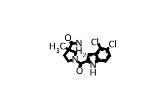 CC1(C(N)=O)CCN(C(=O)c2cc3c(Cl)c(Cl)ccc3[nH]2)C1